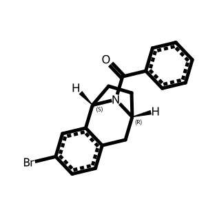 O=C(c1ccccc1)N1[C@@H]2CC[C@H]1c1cc(Br)ccc1C2